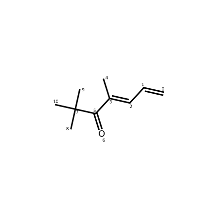 C=C/C=C(\C)C(=O)C(C)(C)C